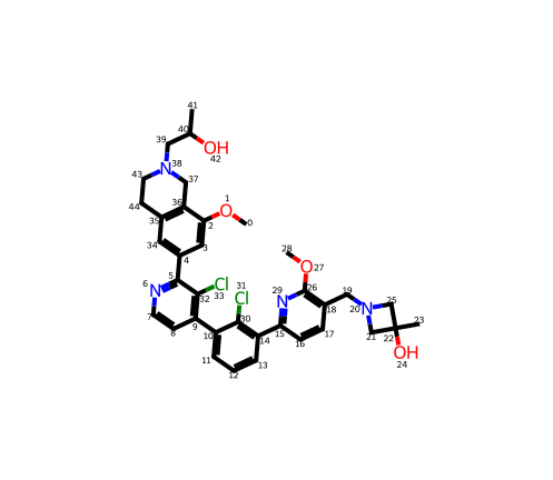 COc1cc(-c2nccc(-c3cccc(-c4ccc(CN5CC(C)(O)C5)c(OC)n4)c3Cl)c2Cl)cc2c1CN(CC(C)O)CC2